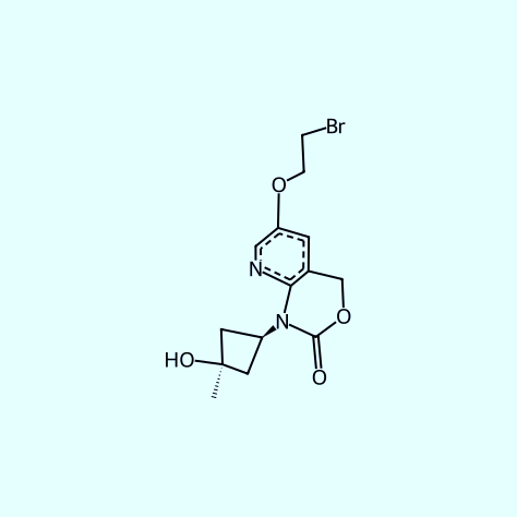 C[C@]1(O)C[C@@H](N2C(=O)OCc3cc(OCCBr)cnc32)C1